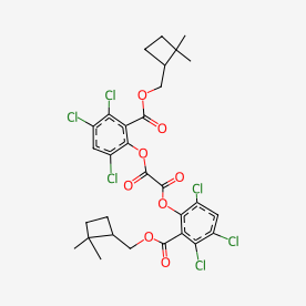 CC1(C)CCC1COC(=O)c1c(Cl)c(Cl)cc(Cl)c1OC(=O)C(=O)Oc1c(Cl)cc(Cl)c(Cl)c1C(=O)OCC1CCC1(C)C